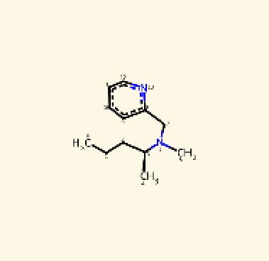 CCC[C@H](C)N(C)Cc1ccccn1